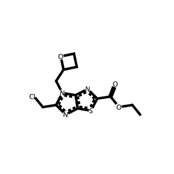 CCOC(=O)c1nc2c(nc(CCl)n2CC2CCO2)s1